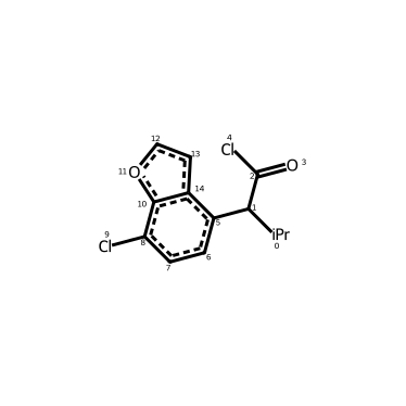 CC(C)C(C(=O)Cl)c1ccc(Cl)c2occc12